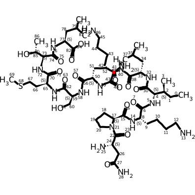 CC[C@H](C)[C@H](NC(=O)[C@H](CCCCN)NC(=O)[C@@H]1CCCN1C(=O)[C@@H](N)CC(N)=O)C(=O)N[C@@H](CC(C)C)C(=O)N[C@@H](CCCCN)C(=O)N[C@@H](CCC(N)=O)C(=O)N[C@@H](CO)C(=O)N[C@@H](CCSC)C(=O)N[C@H](C(=O)N[C@@H](CC(C)C)C(=O)O)[C@@H](C)O